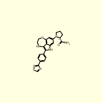 NC(=O)[C@@H]1CCCN1c1cc2c3c(c(-c4ccc(-c5ncsn5)cc4)[nH]c3c1)NCCO2